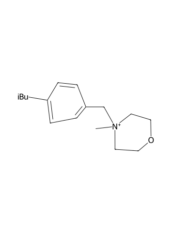 CCC(C)c1ccc(C[N+]2(C)CCOCC2)cc1